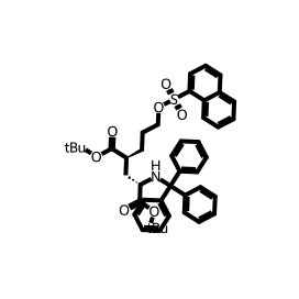 CC(C)(C)OC(=O)[C@@H](CCCOS(=O)(=O)c1cccc2ccccc12)C[C@H](NC(c1ccccc1)(c1ccccc1)c1ccccc1)C(=O)OC(C)(C)C